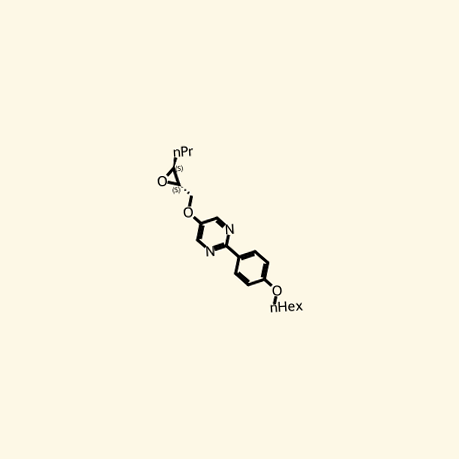 CCCCCCOc1ccc(-c2ncc(OC[C@@H]3O[C@H]3CCC)cn2)cc1